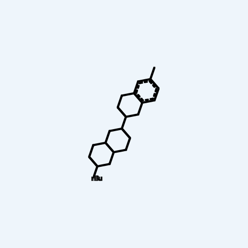 CCCCC1CCC2CC(C3CCc4cc(C)ccc4C3)CCC2C1